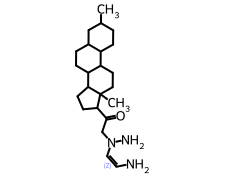 CC1CCC2C(CCC3C2CCC2(C)C(C(=O)CN(N)/C=C\N)CCC32)C1